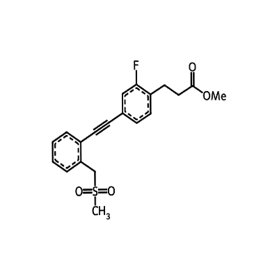 COC(=O)CCc1ccc(C#Cc2ccccc2CS(C)(=O)=O)cc1F